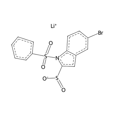 O=S([O-])c1cc2cc(Br)ccc2n1S(=O)(=O)c1ccccc1.[Li+]